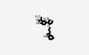 CCC1C(=O)Nc2ccc(-c3c(OCCCc4c[nH]c5ccccc45)ccnc3N)cc21